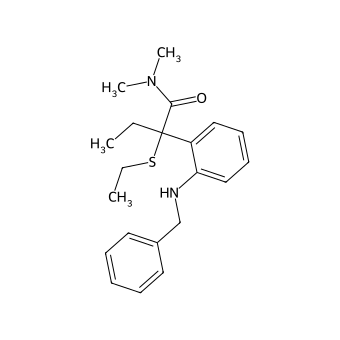 CCSC(CC)(C(=O)N(C)C)c1ccccc1NCc1ccccc1